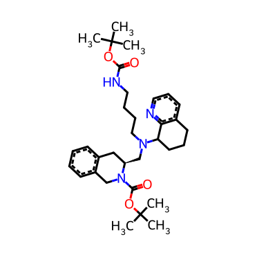 CC(C)(C)OC(=O)NCCCCN(C[C@@H]1Cc2ccccc2CN1C(=O)OC(C)(C)C)C1CCCc2cccnc21